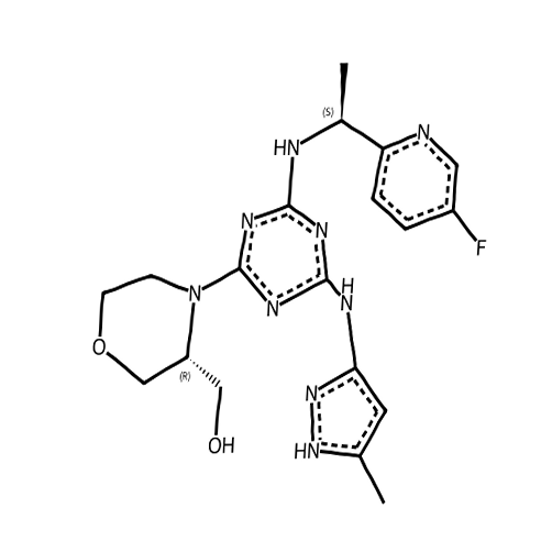 Cc1cc(Nc2nc(N[C@@H](C)c3ccc(F)cn3)nc(N3CCOC[C@H]3CO)n2)n[nH]1